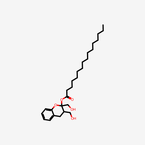 CCCCCCCCCCCCCCCC(=O)OC1(CO)Oc2ccccc2CC1CO